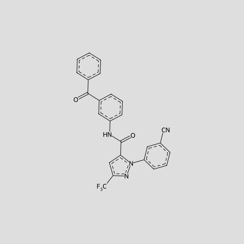 N#Cc1cccc(-n2nc(C(F)(F)F)cc2C(=O)Nc2cccc(C(=O)c3ccccc3)c2)c1